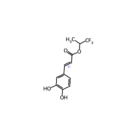 CC(OC(=O)/C=C/c1ccc(O)c(O)c1)C(F)(F)F